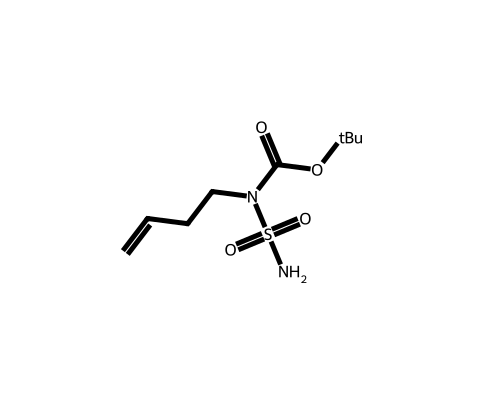 C=CCCN(C(=O)OC(C)(C)C)S(N)(=O)=O